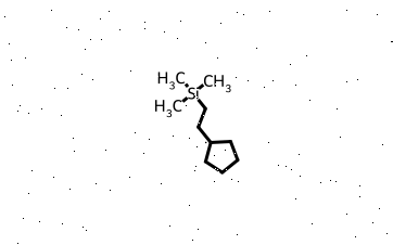 C[Si](C)(C)CC[C]1CCCC1